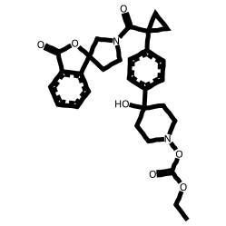 CCOC(=O)ON1CCC(O)(c2ccc(C3(C(=O)N4CCC5(C4)OC(=O)c4ccccc45)CC3)cc2)CC1